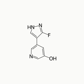 Oc1cncc(-c2c[nH]nc2F)c1